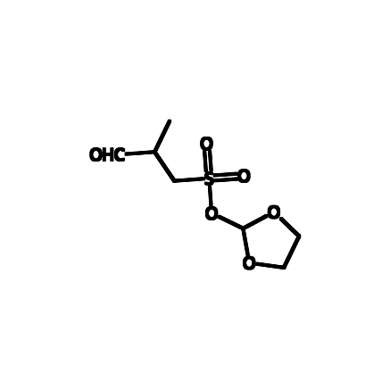 CC(C=O)CS(=O)(=O)OC1OCCO1